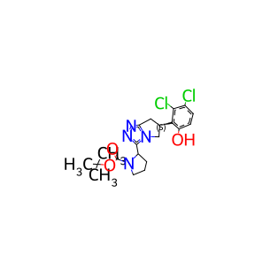 CC(C)(C)OC(=O)N1CCCC1c1nnc2n1C[C@H](c1c(O)ccc(Cl)c1Cl)C2